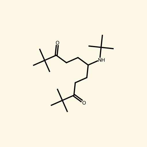 CC(C)(C)NC(CCC(=O)C(C)(C)C)CCC(=O)C(C)(C)C